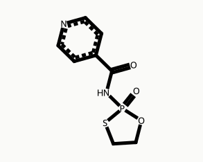 O=C(NP1(=O)OCCS1)c1ccncc1